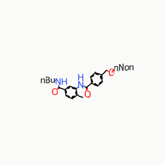 CCCCCCCCCOCc1ccc(C(=O)Nc2cc(C(=O)NCCCC)ccc2C)cc1